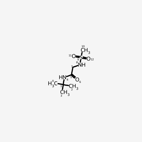 CC(C)(C)NC(=O)CNS(C)(=O)=O